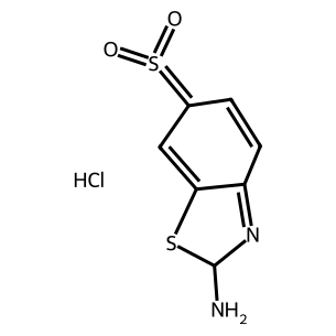 Cl.NC1N=C2C=CC(=S(=O)=O)C=C2S1